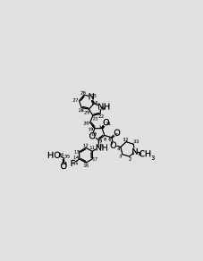 CN1CCC(OC(=O)C2=C(Nc3ccc(F)cc3)OC(=Cc3c[nH]c4ncccc34)C2=O)CC1.O=CO